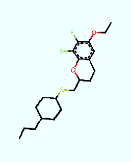 CCCC1CCC(SCC2CCc3cc(OCC)c(F)c(F)c3O2)CC1